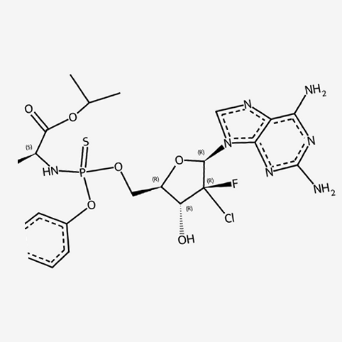 CC(C)OC(=O)[C@H](C)NP(=S)(OC[C@H]1O[C@@H](n2cnc3c(N)nc(N)nc32)[C@](F)(Cl)[C@@H]1O)Oc1ccccc1